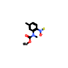 Cc1ccc([N+]([O-])=S)c(N(C)C(=O)OC(C)(C)C)c1